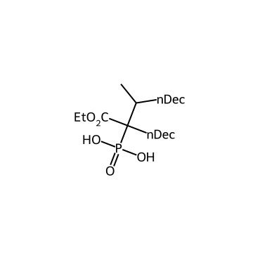 CCCCCCCCCCC(C)C(CCCCCCCCCC)(C(=O)OCC)P(=O)(O)O